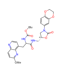 COc1ccc2nccc(CC(NC(=O)OC(C)(C)C)C(=O)NC[C@@H]3CN(c4ccc5c(c4)OCCO5)C(=O)O3)c2n1